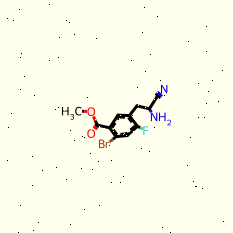 COC(=O)c1cc(CC(N)C#N)c(F)cc1Br